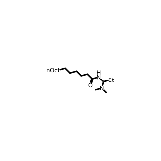 [CH2]CC(NC(=O)CCCCCCCCCCCCC)N(C)C